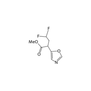 COC(=O)C(CC(F)F)c1cnco1